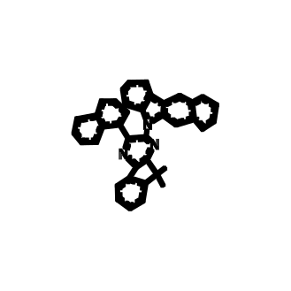 CC1(C)c2ccccc2-c2nc(-c3cccc4ccccc34)c(-n3c4ccccc4c4cc5ccccc5cc43)nc21